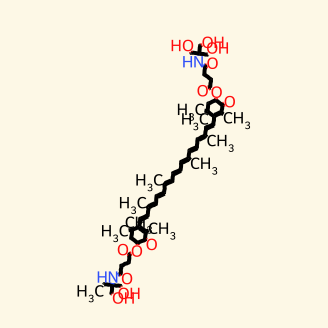 CCC(CO)(CO)NC(=O)CCC(=O)OC1CC(C)(C)C(/C=C/C(C)=C/C=C/C(C)=C/C=C/C=C(C)/C=C/C=C(C)/C=C/C2=C(C)C(=O)C(OC(=O)CCC(=O)NC(CO)(CO)CO)CC2(C)C)=C(C)C1=O